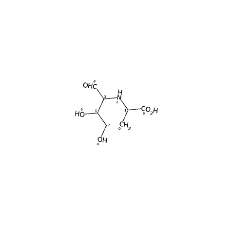 CC(NC(C=O)C(O)CO)C(=O)O